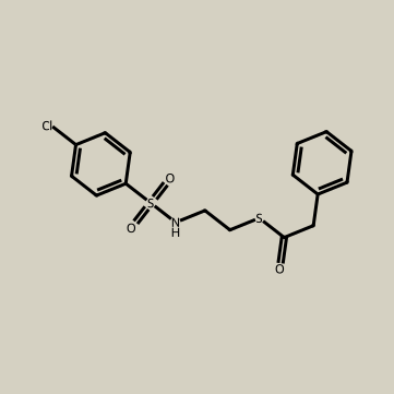 O=C(Cc1ccccc1)SCCNS(=O)(=O)c1ccc(Cl)cc1